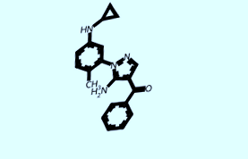 Cc1ccc(NC2CC2)cc1-n1ncc(C(=O)c2ccccc2)c1N